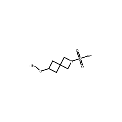 CCCCOC1CC2(C1)CN(S(=O)(=O)CCC)C2